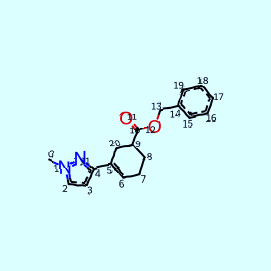 Cn1ccc(C2=CCCC(C(=O)OCc3ccccc3)C2)n1